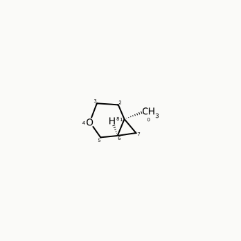 C[C@@]12CCOC[C@@H]1C2